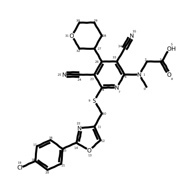 CN(CC(=O)O)c1nc(SCc2coc(-c3ccc(Cl)cc3)n2)c(C#N)c(C2CCCOC2)c1C#N